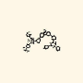 Cc1ccc(-c2nc(-c3ccccc3)nc(-c3cccc(-c4ccc5oc6ccc(-c7cccc(-c8nc(-c9ccccc9)nc(-c9ccc(C(F)(F)F)cc9)n8)c7)cc6c5c4)c3)n2)cc1